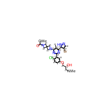 CNC[C@@H](O)COc1ccc(Cl)c(-c2nc(-c3[nH]ncc3Br)c(C)c(N3CC4(CN(C(=O)OC)C4)C3)n2)c1